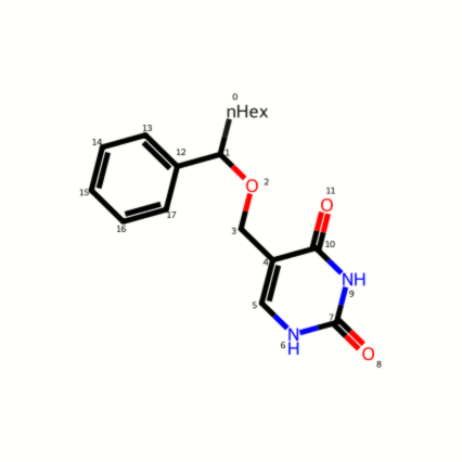 CCCCCCC(OCc1c[nH]c(=O)[nH]c1=O)c1ccccc1